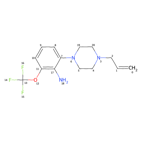 C=CCN1CCN(c2cccc(OC(F)(F)F)c2N)CC1